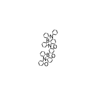 c1ccc(N2c3ccccc3B3c4ccccc4N4c5cc6c(cc5Oc5ccc2c3c54)Oc2ccc3c4c2B6c2ccccc2N4c2ccccc2O3)cc1